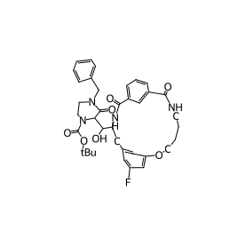 CC(C)(C)OC(=O)N1CCN(Cc2ccccc2)C(=O)C1C(O)C1Cc2cc(F)cc(c2)OCCCCNC(=O)c2cccc(c2)C(=O)N1